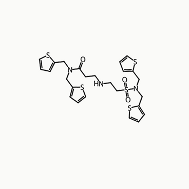 O=C(CCNCCS(=O)(=O)N(Cc1cccs1)Cc1cccs1)N(Cc1cccs1)Cc1cccs1